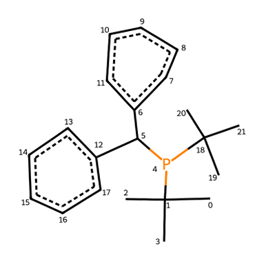 CC(C)(C)P(C(c1ccccc1)c1ccccc1)C(C)(C)C